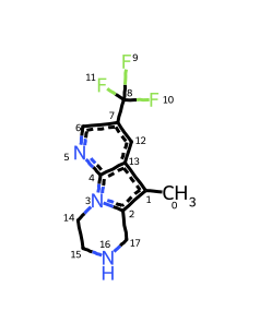 Cc1c2n(c3ncc(C(F)(F)F)cc13)CCNC2